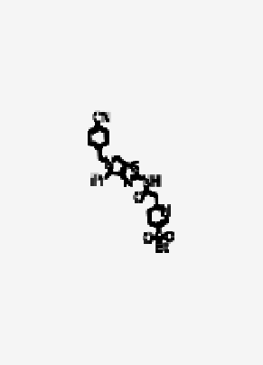 CCS(=O)(=O)c1ccc(CC(=O)Nc2nc3c(s2)CN(Cc2ccc(C#N)cc2)C3C(C)C)nc1